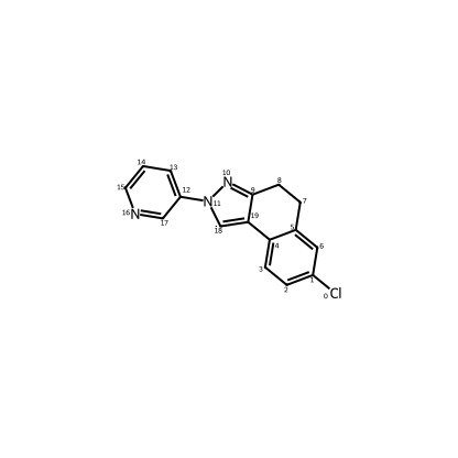 Clc1ccc2c(c1)CCc1nn(-c3cccnc3)[c]c1-2